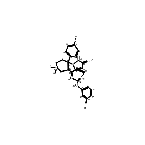 C[N+]1(C)CCC(c2ccc(F)cc2)(n2ccc(=O)[nH]2)C(c2ccnc(Oc3cccc(F)c3)n2)C1